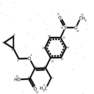 CC/C(=C(/OCC1CC1)C(=O)O)c1ccc(S(=O)OC)cc1